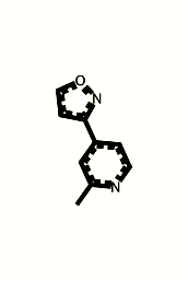 Cc1cc(-c2ccon2)ccn1